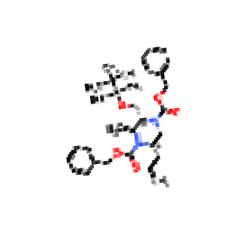 C=CC[C@@H](CN(C(=O)OCc1ccccc1)[C@H](C=C)CO[Si](C)(C)C(C)(C)C)NC(=O)OCc1ccccc1